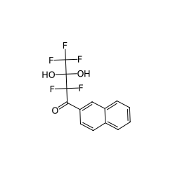 O=C(c1ccc2ccccc2c1)C(F)(F)C(O)(O)C(F)(F)F